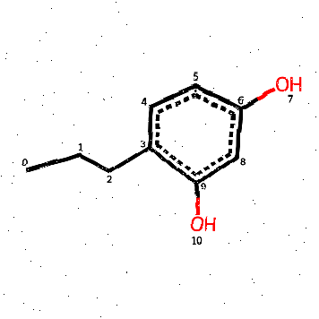 CCCc1c[c]c(O)cc1O